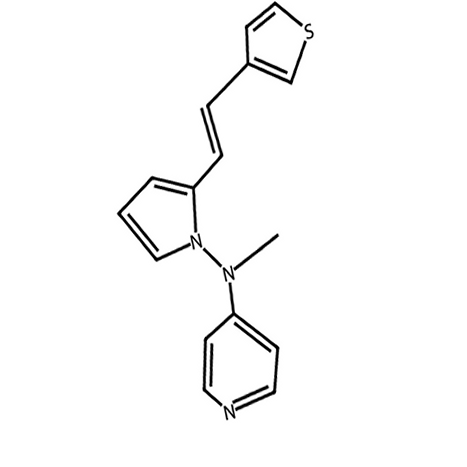 CN(c1ccncc1)n1cccc1C=Cc1ccsc1